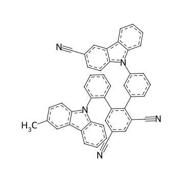 Cc1ccc2c(c1)c1ccccc1n2-c1ccccc1-c1cc(C#N)cc(C#N)c1-c1cccc(-n2c3ccccc3c3cc(C#N)ccc32)c1